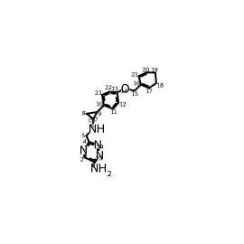 Nc1cnc(CN[C@H]2CC2c2ccc(OCC3=CCCC=C3)cc2)nn1